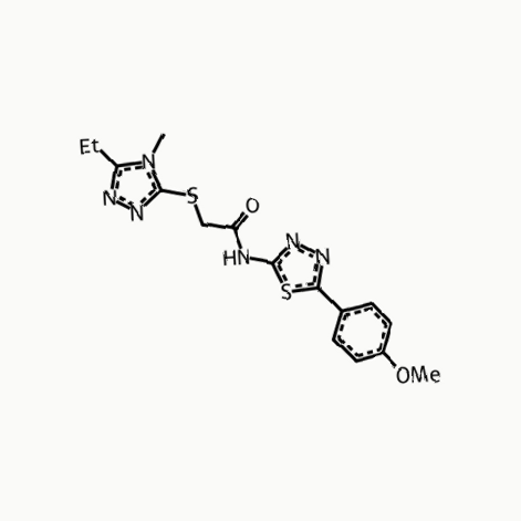 CCc1nnc(SCC(=O)Nc2nnc(-c3ccc(OC)cc3)s2)n1C